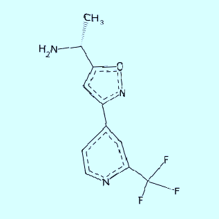 C[C@@H](N)c1cc(-c2ccnc(C(F)(F)F)c2)no1